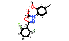 COc1cc(C)ccc1-n1nc(-c2c(F)cccc2Cl)oc1=O